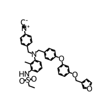 [C-]#[N+]c1ccc(CN(Cc2ccc(Oc3cccc(OCc4ccoc4)c3)cc2)c2cccc(NS(=O)(=O)CC)c2C)cc1